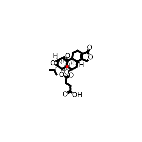 CC(C)[C@]12O[C@H]1[C@@H]1O[C@]13[C@]1(O[C@H]1C[C@H]1C4=C(CC[C@@]13C)C(=O)OC4)[C@@H]2OC(=O)CCC(=O)O